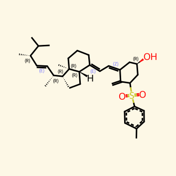 C=C1/C(=C\C=C2/CCC[C@]3(C)[C@@H]([C@H](C)/C=C/[C@H](C)C(C)C)CC[C@@H]23)C[C@@H](O)CC1S(=O)(=O)c1ccc(C)cc1